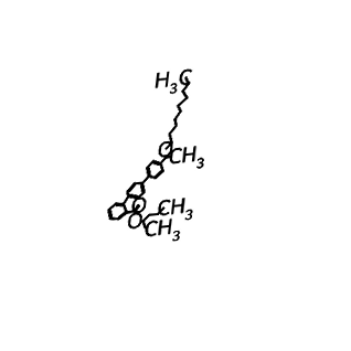 CCCCCCCCCCOC(C)c1ccc(-c2ccc(-c3ccccc3C(=O)OC(CC)CCC)cc2)cc1